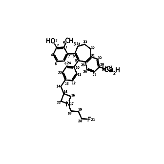 Cc1c(O)cccc1C1=C(c2ccc(CC3CN(CCCF)C3)cc2)c2ccc(C(=O)O)cc2CCC1.Cl